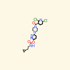 O=C(NCCC1CC1)Oc1ccc(N2CCN(C(=O)c3ccc(Cl)nc3Cl)CC2)nn1